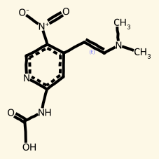 CN(C)/C=C/c1cc(NC(=O)O)ncc1[N+](=O)[O-]